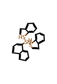 C1=C[SH]([SH](c2cccc3ccccc23)[SH]2C=Cc3ccccc32)c2ccccc21